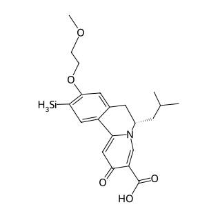 COCCOc1cc2c(cc1[SiH3])-c1cc(=O)c(C(=O)O)cn1[C@@H](CC(C)C)C2